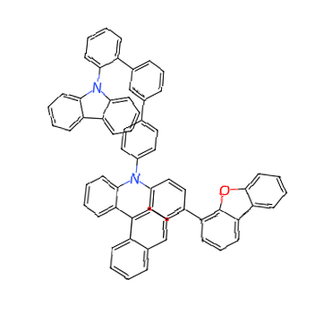 c1cc(-c2ccc(N(c3ccc(-c4cccc5c4oc4ccccc45)cc3)c3ccccc3-c3cccc4ccccc34)cc2)cc(-c2ccccc2-n2c3ccccc3c3ccccc32)c1